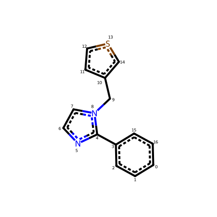 c1ccc(-c2nccn2Cc2ccsc2)cc1